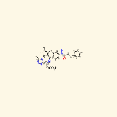 Cc1sc2c(c1C)C(c1ccc(NC(=O)CCc3ccccc3)cc1)=N[C@@H](CC(=O)O)c1nnc(C)n1-2